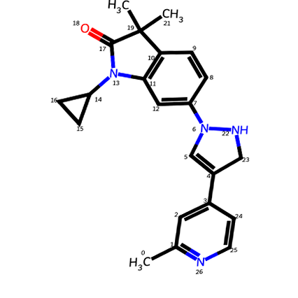 Cc1cc(C2=CN(c3ccc4c(c3)N(C3CC3)C(=O)C4(C)C)NC2)ccn1